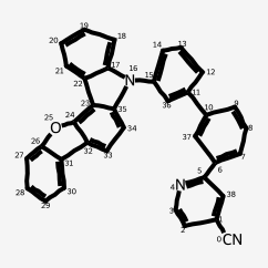 N#Cc1ccnc(-c2cccc(-c3cccc(-n4c5ccccc5c5c6oc7ccccc7c6ccc54)c3)c2)c1